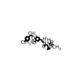 CCS(=O)(=O)NC(C(=O)NCCc1ccc(OCC(C)c2ccc(Cl)cc2)c(OC)c1)C1CC1